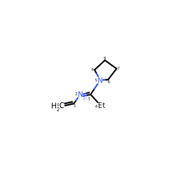 C=C/N=C(\CC)N1CCCC1